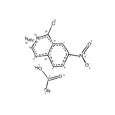 O=S(O)O.O=[N+]([O-])c1ccc2ncnc(Cl)c2c1.[NaH]